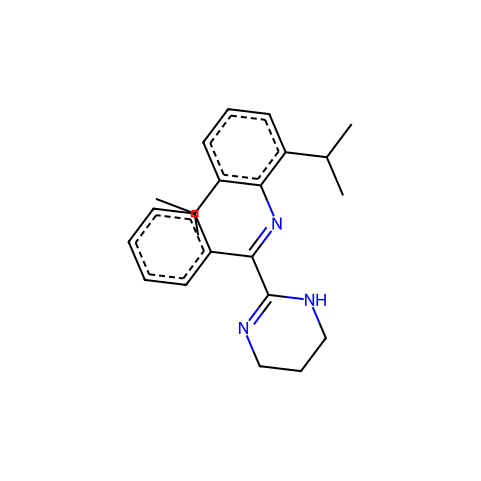 CC(C)c1cccc(C(C)C)c1/N=C(/C1=NCCCN1)c1ccccc1